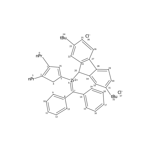 CCCC1=C(CCC)C[C]([Zr+2](=[C](c2ccccc2)c2ccccc2)[CH]2c3cc(C(C)(C)C)ccc3-c3ccc(C(C)(C)C)cc32)=C1.[Cl-].[Cl-]